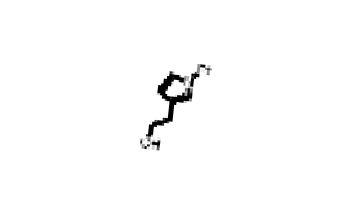 CCn1ccc(CCO)c1